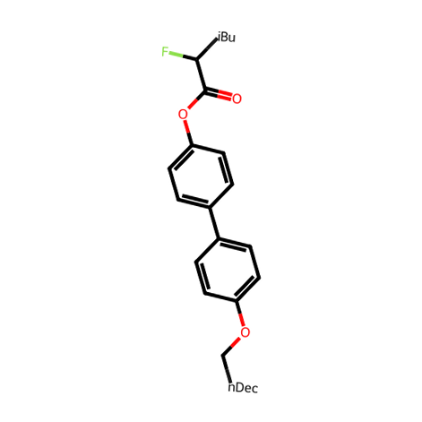 CCCCCCCCCCCOc1ccc(-c2ccc(OC(=O)C(F)C(C)CC)cc2)cc1